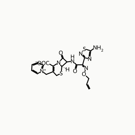 C=CCO/N=C(\C(=O)NC1C(=O)N2C(C(=O)[O-])=C(C[n+]3ccccc3)CS[C@H]12)c1nsc(N)n1